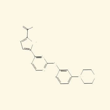 O=C(O)c1ccc(-c2ccnc(Nc3cccc(N4CCOCC4)c3)n2)s1